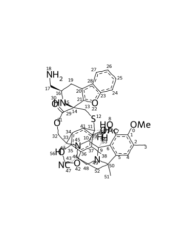 COc1c(C)cc2c(c1O)[C@@H]1[C@@H]3[C@@H]4SC[C@]5(N[C@@H](CN)Cc6c5oc5ccccc65)C(=O)OC[C@@H](c5c6c(c(C)c(OC(C)=O)c54)OCO6)N3[C@]3(C#N)CN1C2(C)C3